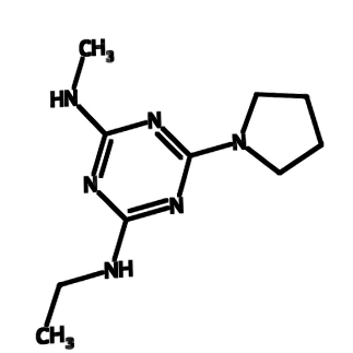 CCNc1nc(NC)nc(N2CCCC2)n1